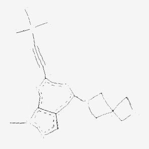 Cn1ncc2c(N3CC4(COC4)C3)nc(C#C[Si](C)(C)C)nc21